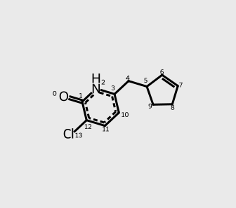 O=c1[nH]c(CC2C=CCC2)ccc1Cl